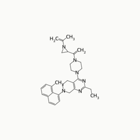 C=C(C1CN1C(=C)C)N1CCN(c2nc(CC)nc3c2CCN(c2cccc4cccc(C)c24)C3)CC1